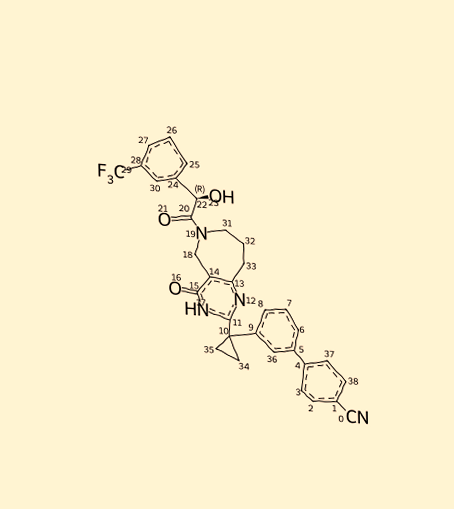 N#Cc1ccc(-c2cccc(C3(c4nc5c(c(=O)[nH]4)CN(C(=O)[C@H](O)c4cccc(C(F)(F)F)c4)CCC5)CC3)c2)cc1